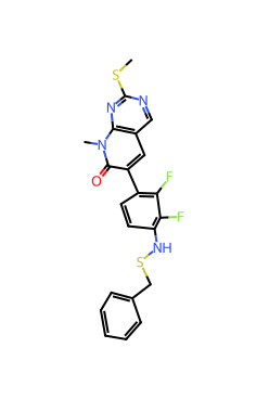 CSc1ncc2cc(-c3ccc(NSCc4ccccc4)c(F)c3F)c(=O)n(C)c2n1